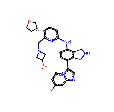 OC1CN(Cc2nc(Nc3ccc(-c4cnc5cc(F)ccn45)c4c3CNC4)ccc2[C@@H]2CCOC2)C1